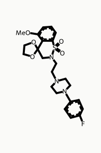 COc1cccc2c1C1(CN(CCN3CCN(c4ccc(F)cc4)CC3)S2(=O)=O)OCCO1